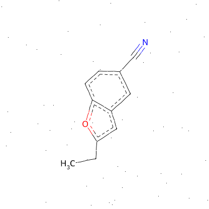 CCc1cc2cc(C#N)ccc2o1